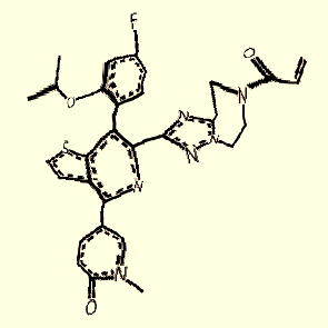 C=CC(=O)N1CCn2nc(-c3nc(-c4ccc(=O)n(C)c4)c4ccsc4c3-c3ccc(F)cc3OC(C)C)nc2C1